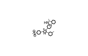 Cc1cccc(-c2nc(-c3ccc(S(C)(=O)=O)cc3)sc2-c2ccnc(NC(C)c3ccccc3)c2)c1